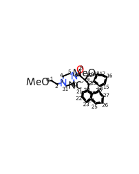 COCCN1CCN(C(=O)[C@](C)(C#N)[C@H](c2ccccc2OC)c2cccc3ccccc23)CC1